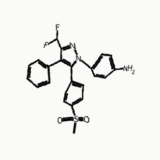 CS(=O)(=O)c1ccc(-c2c(-c3ccccc3)c(C(F)F)nn2-c2ccc(N)cc2)cc1